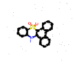 O=S1(=O)c2ccccc2Nc2c1c1ccccc1c1ccccc21